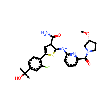 CO[C@@H]1CCN(C(=O)c2cccc(NC3SC(c4ccc(C(C)(C)O)cc4F)=CC3C(N)=O)n2)C1